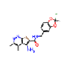 Cc1nnc2sc(C(=O)NCc3ccc4c(c3)OC(C)(F)O4)c(N)c2c1C